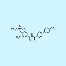 CCOC(=O)C(C)(C)Oc1ccc(C(CC)NC(=O)c2ccc(-c3ccc(C(F)(F)F)cc3)cc2)cc1C